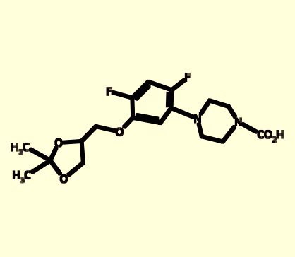 CC1(C)OCC(COc2cc(N3CCN(C(=O)O)CC3)c(F)cc2F)O1